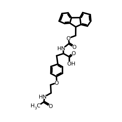 CC(=O)NCCOc1ccc(CC(NC(=O)OCC2c3ccccc3-c3ccccc32)C(=O)O)cc1